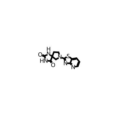 O=C1NC(=O)C2(CCN(c3nc4ncccc4s3)C2)N1